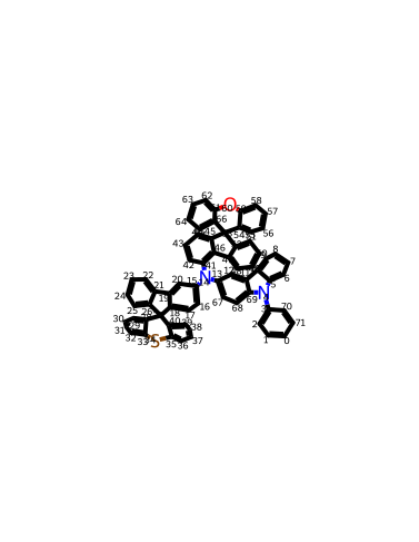 c1ccc(-n2c3ccccc3c3cc(N(c4ccc5c(c4)-c4ccccc4C54c5ccccc5Sc5ccccc54)c4cccc5c4-c4ccccc4C54c5ccccc5Oc5ccccc54)ccc32)cc1